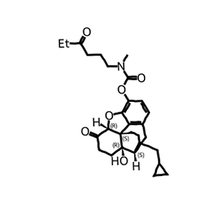 CCC(=O)CCCN(C)C(=O)Oc1ccc2c3c1O[C@H]1C(=O)CC[C@@]4(O)[C@@H](C2)C(CC2CC2)CC[C@]314